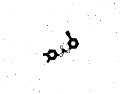 C#Cc1cccc(OC(=O)Oc2ccc(C)c(C)c2)c1